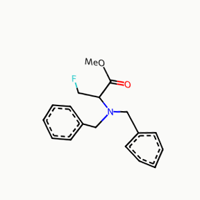 COC(=O)C(CF)N(Cc1ccccc1)Cc1ccccc1